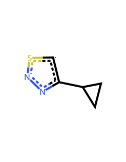 [c]1snnc1C1CC1